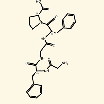 NCC(=O)N[C@@H](Cc1ccccc1)C(=O)NCC(=O)N[C@@H](Cc1ccccc1)C(=O)N1CCC[C@H]1C(=O)O